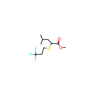 COC(=O)C(CC(C)C)SCCC(F)(F)F